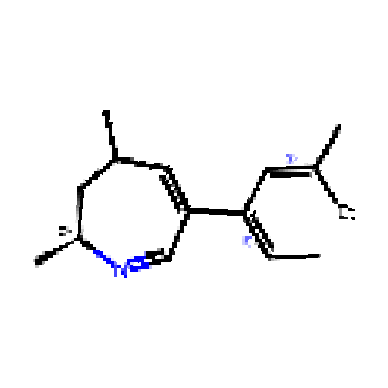 C/C=C(\C=C(\C)CC)C1=CC(C)C[C@H](C)N=C1